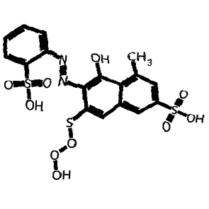 Cc1cc(S(=O)(=O)O)cc2cc(SOOO)c(N=Nc3ccccc3S(=O)(=O)O)c(O)c12